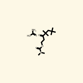 CN(C)C(=S)OCCC(=O)C(C)(C)CC(C)(C)C.NC(O)=S